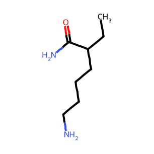 CCC(CCCCN)C(N)=O